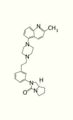 Cc1ccc2c(N3CCN(CCc4cccc(N5C[C@H]6CCCN6C5=O)c4)CC3)cccc2n1